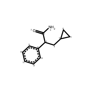 NC(=O)C(CC1CC1)c1ccccc1